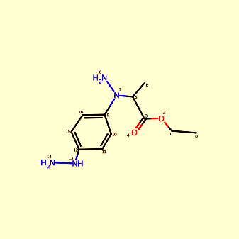 CCOC(=O)C(C)N(N)c1ccc(NN)cc1